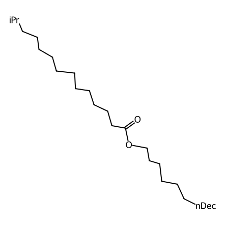 CCCCCCCCCCCCCCCCOC(=O)CCCCCCCCCCCC(C)C